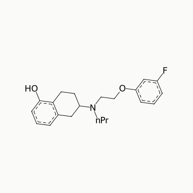 CCCN(CCOc1cccc(F)c1)C1CCc2c(O)cccc2C1